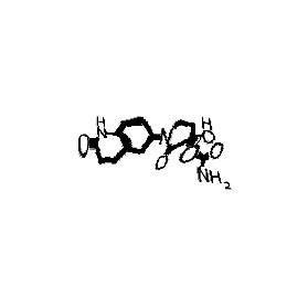 NC(=O)O[C@@]1(O)CCN(c2ccc3c(c2)CCC(=O)N3)C1=O